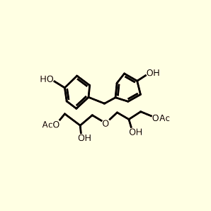 CC(=O)OCC(O)COCC(O)COC(C)=O.Oc1ccc(Cc2ccc(O)cc2)cc1